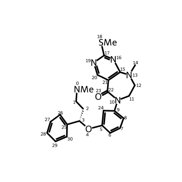 CNCC[C@H](Oc1cccc(N2CCN(C)c3nc(SC)ncc3C2=O)c1)c1ccccc1